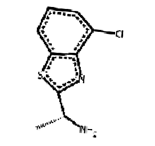 C[C@@H](N)c1nc2c(Cl)cccc2s1